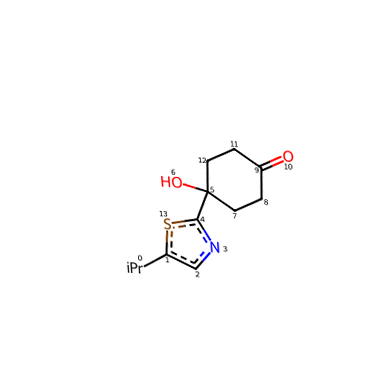 CC(C)c1cnc(C2(O)CCC(=O)CC2)s1